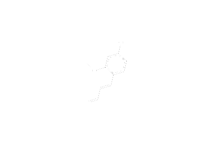 COc1cc(O)ccc1C=CC=O